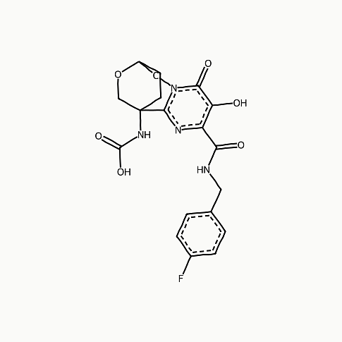 O=C(O)NC12CCC(Cn3c1nc(C(=O)NCc1ccc(F)cc1)c(O)c3=O)OC2